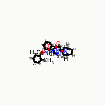 COc1cccc(C(=O)N[C@H]2C[C@H]3CC[C@@H](C2)N3c2ccc(C(=O)NCc3ccccc3C)cn2)c1C